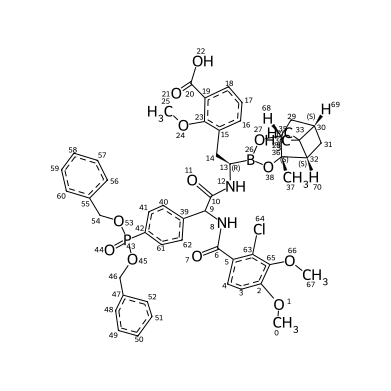 COc1ccc(C(=O)NC(C(=O)N[C@@H](Cc2cccc(C(=O)O)c2OC)B2O[C@@H]3C[C@@H]4C[C@@H](C4(C)C)[C@]3(C)O2)c2ccc(P(=O)(OCc3ccccc3)OCc3ccccc3)cc2)c(Cl)c1OC